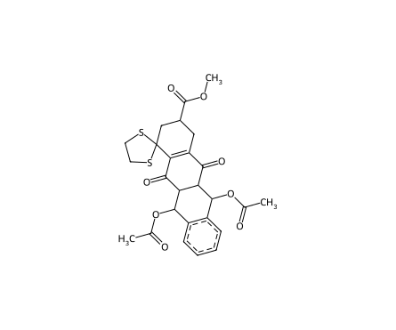 COC(=O)C1CC2=C(C(=O)C3C(OC(C)=O)c4ccccc4C(OC(C)=O)C3C2=O)C2(C1)SCCS2